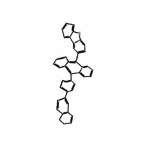 C1=Cc2cc(-c3ccc(-c4c5ccccc5c(-c5ccc6sc7ccccc7c6c5)c5ccccc45)cc3)ccc2CC1